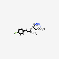 C[C@@H](CCc1ccc(F)cc1)C[C@H](CN)CC(=O)O